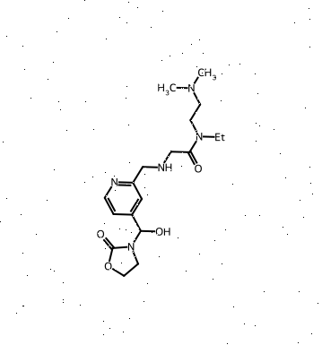 CCN(CCN(C)C)C(=O)CNCc1cc(C(O)N2CCOC2=O)ccn1